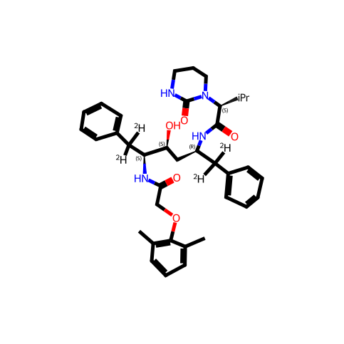 [2H]C([2H])(c1ccccc1)[C@H](NC(=O)COc1c(C)cccc1C)[C@@H](O)C[C@@H](NC(=O)[C@H](C(C)C)N1CCCNC1=O)C([2H])([2H])c1ccccc1